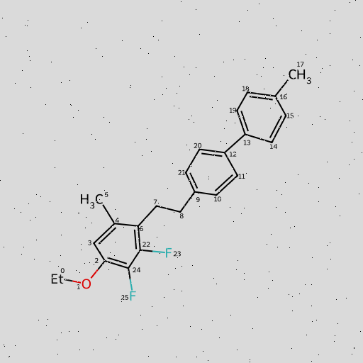 CCOc1cc(C)c(CCc2ccc(-c3ccc(C)cc3)cc2)c(F)c1F